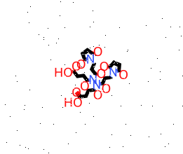 O=C(O)CCC(=O)N(C(=O)CCN1C(=O)C=CC1=O)N(C(=O)CCC(=O)O)C(=O)CCN1C(=O)C=CC1=O